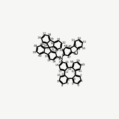 c1ccc2c(c1)-c1ccccc1-c1ccc(N(c3ccc4c(c3)C3(c5ccccc5-c5ccccc53)c3ccccc3-4)c3ccc4c(c3)oc3ccccc34)cc1-c1ccccc1-2